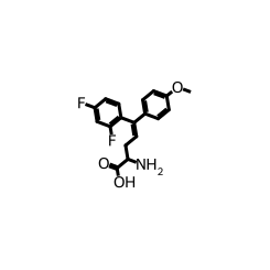 COc1ccc(/C(=C/CC(N)C(=O)O)c2ccc(F)cc2F)cc1